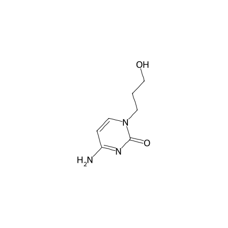 Nc1ccn(CCCO)c(=O)n1